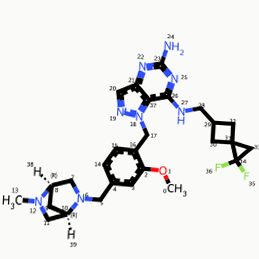 COc1cc(CN2C[C@H]3C[C@@H]2CN3C)ccc1Cn1ncc2nc(N)nc(NCC3CC4(C3)CC4(F)F)c21